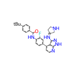 CC(C)(C)c1ccc(C(=O)Nc2ccc(-c3ccnc4[nH]nc(N[C@@H]5CCNC5)c34)cc2F)cc1